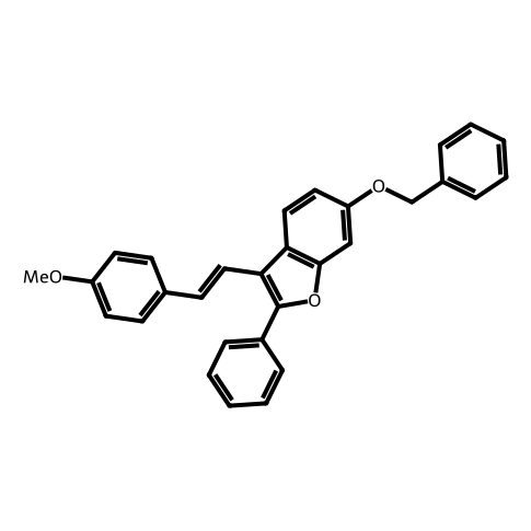 COc1ccc(/C=C/c2c(-c3ccccc3)oc3cc(OCc4ccccc4)ccc23)cc1